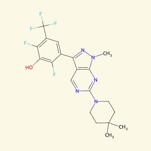 Cn1nc(-c2cc(C(F)(F)F)c(F)c(O)c2F)c2cnc(N3CCC(C)(C)CC3)nc21